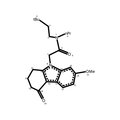 CCCN(CCC(C)(C)C)C(=O)Cn1c2c(c3ccc(OC)cc31)C(=O)CCC2